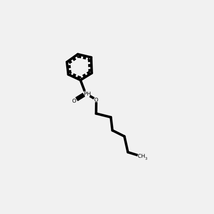 CCCCCCO[PH](=O)c1ccccc1